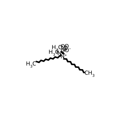 CCCCCCCCCCCC[n+]1ccn(C)c1CCCCCCCCCCC.COS(=O)(=O)[O-]